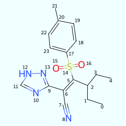 CCC(CC)C(=C(C#N)c1nc[nH]n1)S(=O)(=O)c1ccc(C)cc1